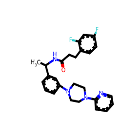 CC(NC(=O)CCc1ccc(F)cc1F)c1cccc(N2CCN(c3ccccn3)CC2)c1